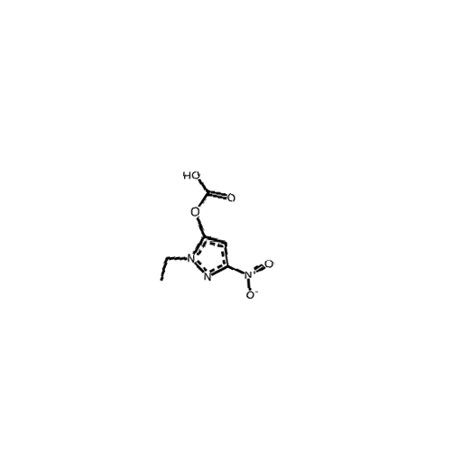 CCn1nc([N+](=O)[O-])cc1OC(=O)O